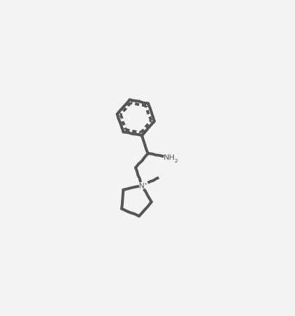 C[N+]1(CC(N)c2ccccc2)CCCC1